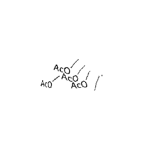 COC(C)=O.COC(C)=O.COC(C)=O.COC(C)=O.[CH2]C